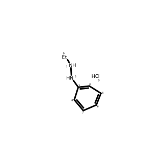 CCNNc1ccccc1.Cl